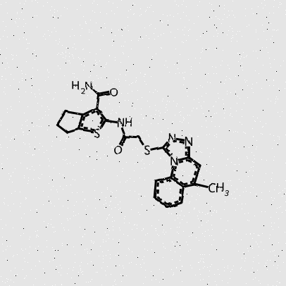 Cc1cc2nnc(SCC(=O)Nc3sc4c(c3C(N)=O)CCC4)n2c2ccccc12